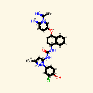 CC(C)C(=N)n1cc(O[C@@H]2CC[C@H](NC(=O)Nc3cc(C(C)(C)C)nn3-c3ccc(O)c(Cl)c3)c3ccccc32)ccc1=N